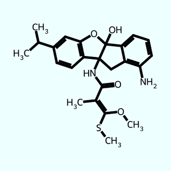 CO/C(SC)=C(/C)C(=O)NC12Cc3c(N)cccc3C1(O)Oc1cc(C(C)C)ccc12